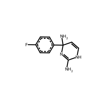 NC1=NC(N)(c2ccc(F)cc2)C=CN1